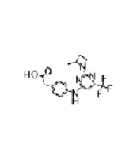 C[C@H]1CCN1c1nc(Nc2ccc(CC(=O)O)cc2)cc(C(F)(F)F)n1